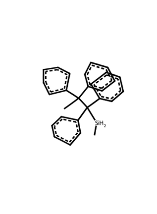 C[SiH2]C(c1ccccc1)(c1ccccc1)C(C)(c1ccccc1)c1ccccc1